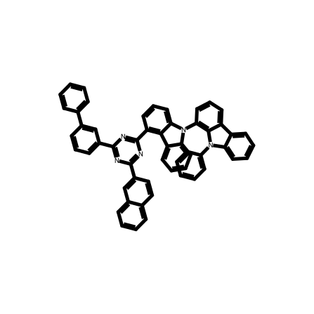 c1ccc(-c2cccc(-c3nc(-c4ccc5ccccc5c4)nc(-c4cccc5c4c4ccccc4n5-c4cccc5c6ccccc6n(-c6ccccc6)c45)n3)c2)cc1